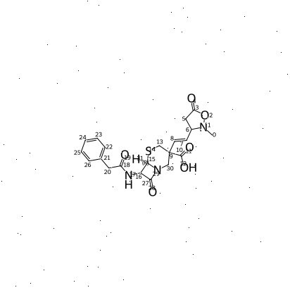 CN1OC(=O)CC1C=CC1(C(=O)O)CS[C@@H]2C(NC(=O)Cc3ccccc3)C(=O)N2C1